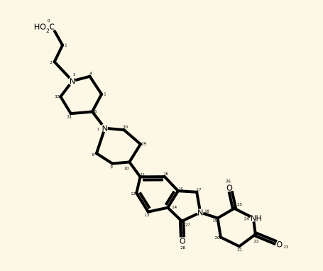 O=C(O)CCN1CCC(N2CCC(c3ccc4c(c3)CN(C3CCC(=O)NC3=O)C4=O)CC2)CC1